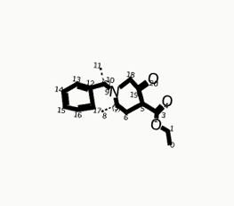 CCOC(=O)C1C[C@H](C)N([C@@H](C)c2ccccc2)CC1=O